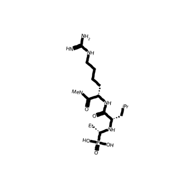 CC[C@H](N[C@@H](CC(C)C)C(=O)N[C@@H](CCCCNC(=N)N)C(=O)NC)P(=O)(O)O